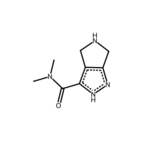 CN(C)C(=O)c1[nH]nc2c1CNC2